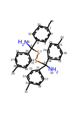 Cc1ccc(C(N)(SSC(N)(c2ccc(C)cc2)c2ccc(C)cc2)c2ccc(C)cc2)cc1